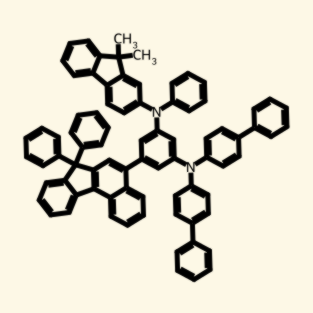 CC1(C)c2ccccc2-c2ccc(N(c3ccccc3)c3cc(-c4cc5c(c6ccccc46)-c4ccccc4C5(c4ccccc4)c4ccccc4)cc(N(c4ccc(-c5ccccc5)cc4)c4ccc(-c5ccccc5)cc4)c3)cc21